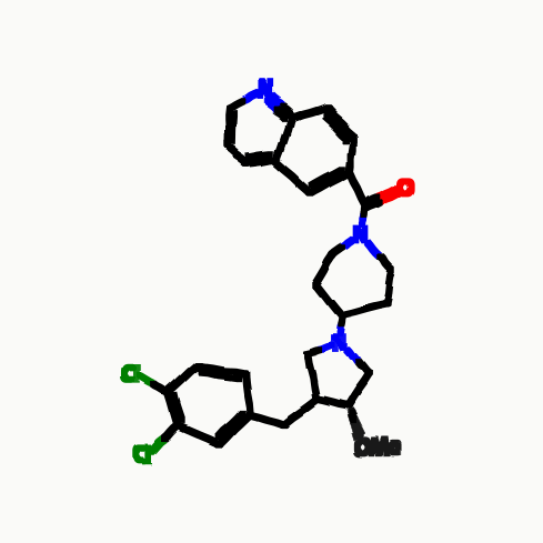 CO[C@@H]1CN(C2CCN(C(=O)c3ccc4ncccc4c3)CC2)CC1Cc1ccc(Cl)c(Cl)c1